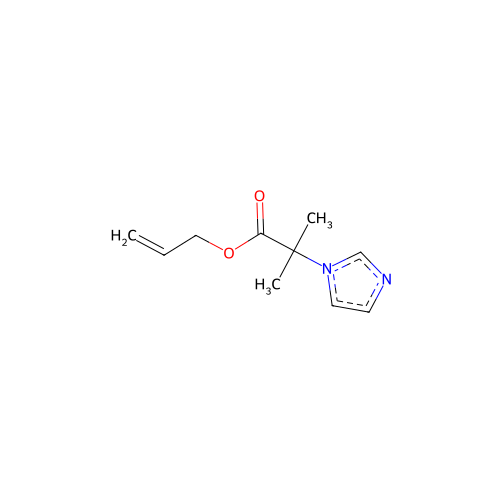 C=CCOC(=O)C(C)(C)n1ccnc1